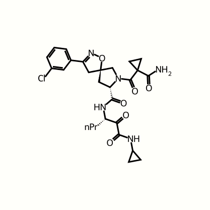 CCC[C@H](NC(=O)[C@@H]1C[C@]2(CC(c3cccc(Cl)c3)=NO2)CN1C(=O)C1(C(N)=O)CC1)C(=O)C(=O)NC1CC1